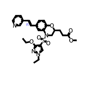 CCOc1nn(CC)cc1S(=O)(=O)N1CC(CCC(=O)OC)Oc2ccc(/C=C/c3cccnc3)cc21